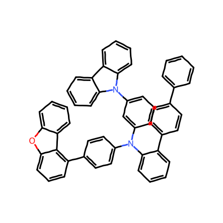 c1ccc(-c2ccc(-c3ccccc3N(c3ccc(-c4cccc5oc6ccccc6c45)cc3)c3cccc(-n4c5ccccc5c5ccccc54)c3)cc2)cc1